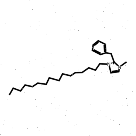 CCCCCCCCCCCCCCCC[n+]1ccn(C)c1Cc1ccccc1